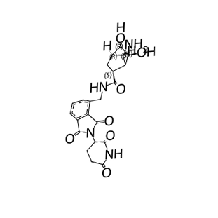 N[C@@H]1C2[C@@H](C(=O)NCc3cccc4c3C(=O)N(C3CCC(=O)NC3=O)C4=O)C[C@H]1[C@@H](O)[C@H]2O